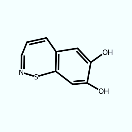 Oc1cc2c(cc1O)SN=CC=C2